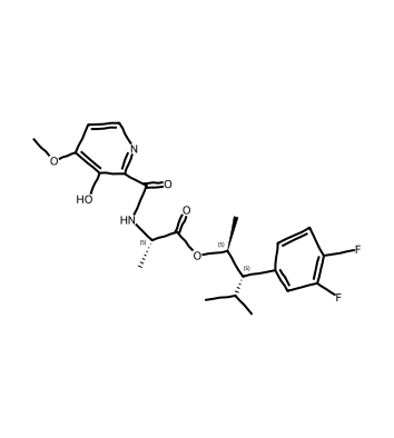 COc1ccnc(C(=O)N[C@@H](C)C(=O)O[C@@H](C)[C@H](c2ccc(F)c(F)c2)C(C)C)c1O